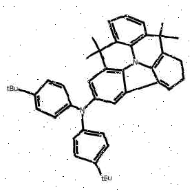 CC(C)(C)c1ccc(N(c2ccc(C(C)(C)C)cc2)c2cc3c4c(c2)c2c5n4-c4c(cccc4C3(C)C)C(C)(C)C=5CCC=2)cc1